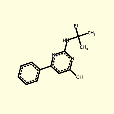 CCC(C)(C)Nc1nc(O)cc(-c2ccccc2)n1